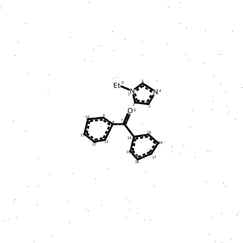 CCn1ccnc1.O=C(c1ccccc1)c1ccccc1